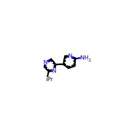 CC(C)c1cncc(-c2ccc(N)nc2)n1